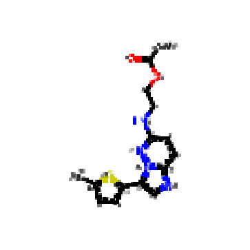 CNC(=O)OCCNc1ccc2ncc(-c3ccc(C(C)=O)s3)n2n1